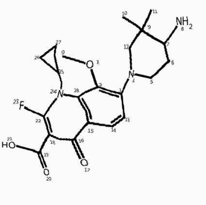 COc1c(N2CCC(N)C(C)(C)C2)ccc2c(=O)c(C(=O)O)c(F)n(C3CC3)c12